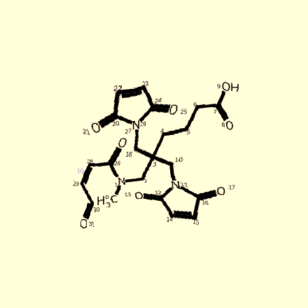 CN(CC(CCCC(=O)O)(CN1C(=O)C=CC1=O)CN1C(=O)C=CC1=O)C(=O)/C=C\C=O